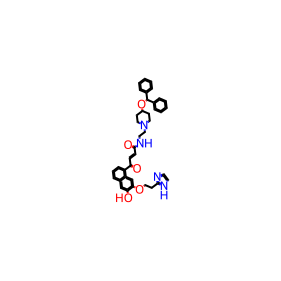 O=C(C=CC(=O)c1cccc2cc(O)c(OCCc3ncc[nH]3)cc12)NCCN1CCC(OC(c2ccccc2)c2ccccc2)CC1